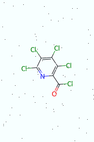 O=C(Cl)c1nc(Cl)c(Cl)c(Cl)c1Cl